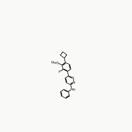 COc1c(C2CCC2)ccc(-c2ccc(Nc3ccccc3)nn2)c1F